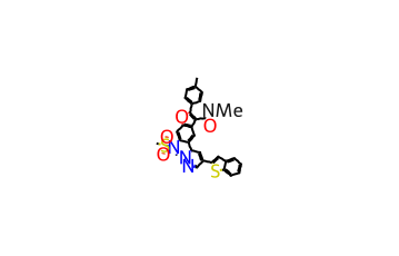 CNC(=O)c1c(-c2ccc(C)cc2)oc2cc(N(C)S(C)(=O)=O)c(-c3cc(-c4cc5ccccc5s4)cnn3)cc12